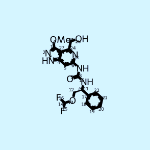 COc1n[nH]c2cc(NC(=O)N[C@H](COC(F)F)c3ccccc3)nc(CO)c12